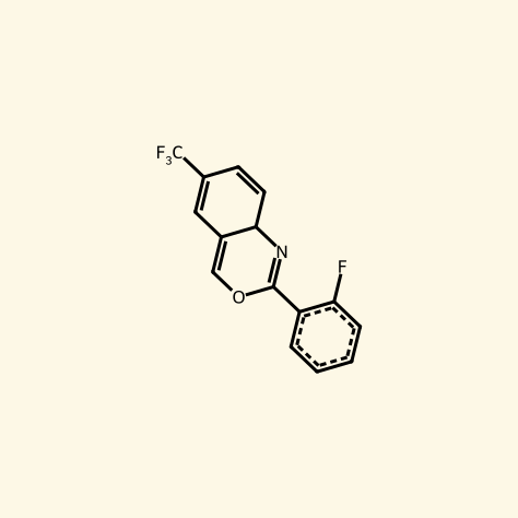 Fc1ccccc1C1=NC2C=CC(C(F)(F)F)=CC2=CO1